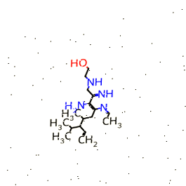 C=CC(C(C)C)C(C)CC(/N=C\C)=C(\N)C(=N)CNCCO